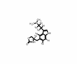 [2H]c1c(C[C@@]2([2H])COC(=O)N2)c([2H])c2c(C([2H])([2H])C([2H])([2H])N(C)C)c[nH]c2c1[2H]